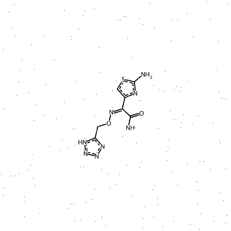 [NH]C(=O)C(=NOCc1nnn[nH]1)c1csc(N)n1